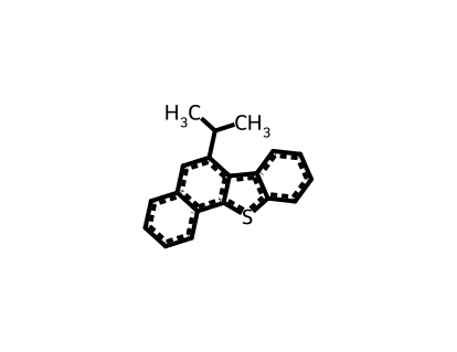 CC(C)c1cc2ccccc2c2sc3ccccc3c12